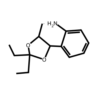 [CH2]C1OC(CC)(CC)OC1c1ccccc1N